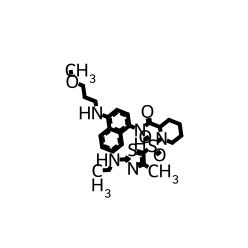 CCNc1nc(C)c(S(=O)(=O)N2CCCCC2C(=O)Nc2ccc(NCCCOC)c3ccccc23)s1